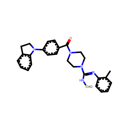 Cc1ccccc1/N=C(\NC=O)N1CCN(C(=O)c2ccc(N3CCc4ccccc43)cc2)CC1